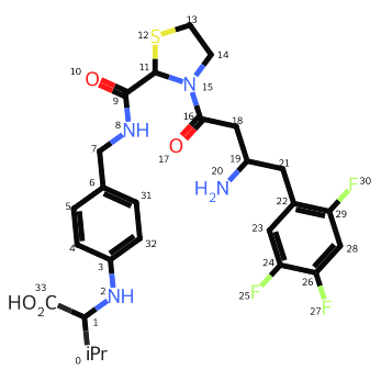 CC(C)C(Nc1ccc(CNC(=O)C2SCCN2C(=O)CC(N)Cc2cc(F)c(F)cc2F)cc1)C(=O)O